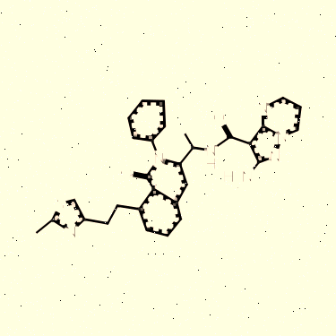 Cc1nc(CCc2cccc3cc(C(C)NC(=O)c4c(N)nn5cccnc45)n(-c4ccccc4)c(=O)c23)cs1